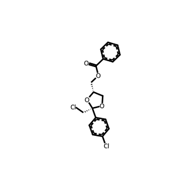 O=C(OC[C@@H]1CO[C@@](CCl)(c2ccc(Cl)cc2)O1)c1ccccc1